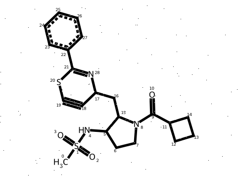 CS(=O)(=O)NC1CCN(C(=O)C2CCC2)C1CC1C#CSC(c2ccccc2)=N1